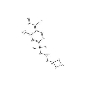 C=C/C(I)=C1/C=CC(C(C)(C)COCC2COC2)=CN1N